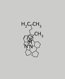 C=C(C)CCC1C(C)C[C@H]2C1C=CC1CN3C4CCCCC4N(C4C(c5ccccc5)CCCC4C4CCCCC4)C3C12